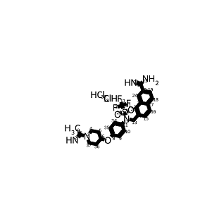 CC(=N)N1CCC(Oc2ccc(N(Cc3ccc4ccc(C(=N)N)cc4c3)S(=O)(=O)C(F)(F)F)cc2)CC1.Cl.Cl